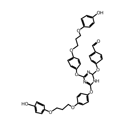 O=Cc1ccc(OC2N=C(Oc3ccc(OCCCOc4ccc(O)cc4)cc3)N=C(Oc3ccc(OCCCOc4ccc(O)cc4)cc3)N2)cc1